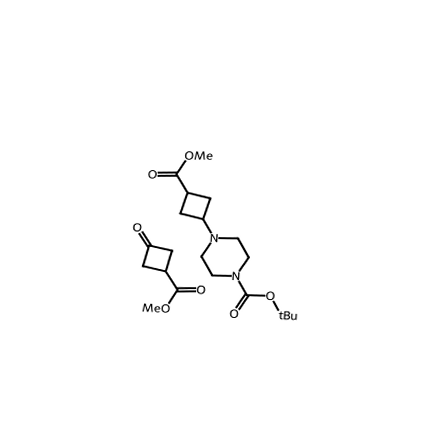 COC(=O)C1CC(=O)C1.COC(=O)C1CC(N2CCN(C(=O)OC(C)(C)C)CC2)C1